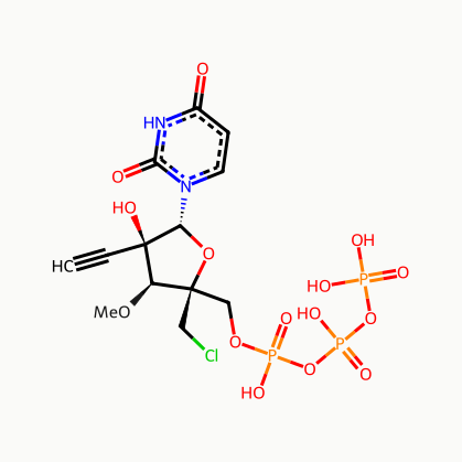 C#C[C@@]1(O)[C@H](OC)[C@@](CCl)(COP(=O)(O)OP(=O)(O)OP(=O)(O)O)O[C@H]1n1ccc(=O)[nH]c1=O